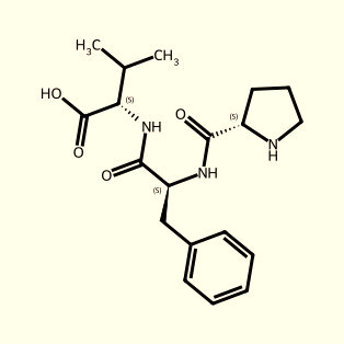 CC(C)[C@H](NC(=O)[C@H](Cc1ccccc1)NC(=O)[C@@H]1CCCN1)C(=O)O